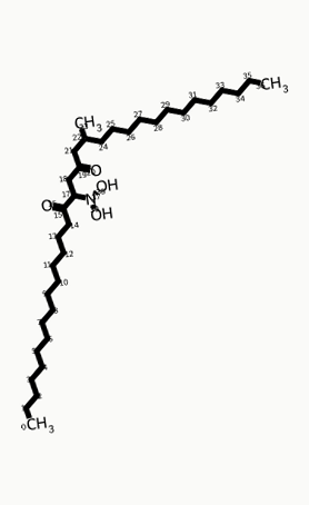 CCCCCCCCCCCCCCCC(=O)C(CC(=O)CC(C)CCCCCCCCCCCCC)N(O)O